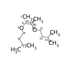 CC(C)CCO[C@H](C)[C@@H](C)OCCC(C)C